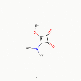 CCCN(CCC)c1c(OC(C)C)c(=O)c1=O